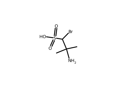 CC(C)(N)C(Br)S(=O)(=O)O